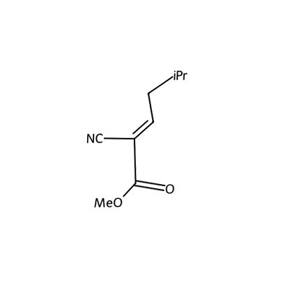 COC(=O)/C(C#N)=C/CC(C)C